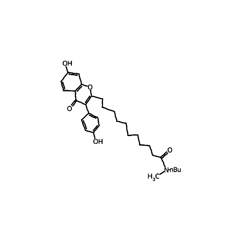 CCCCN(C)C(=O)CCCCCCCCCCc1oc2cc(O)ccc2c(=O)c1-c1ccc(O)cc1